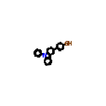 SC1=CC=C(C2=Cc3c4c(n(-c5ccccc5)c3CC2)CCC=C4)CC1